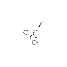 CCOCCOC(=O)C(=CC1C=CC=C1)C1C=CC=C1